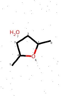 CC1CCC(C)O1.O